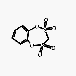 O=S1(=O)CS(=O)(=O)Oc2ccccc2O1